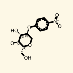 [O][C@H]1[C@H](O)[C@@H](Oc2ccc([N+](=O)[O-])cc2)CO[C@@H]1CO